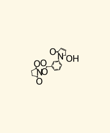 O=C(ON1C(=O)CCC1=O)c1cccc(N2C(=O)C=CC2O)c1